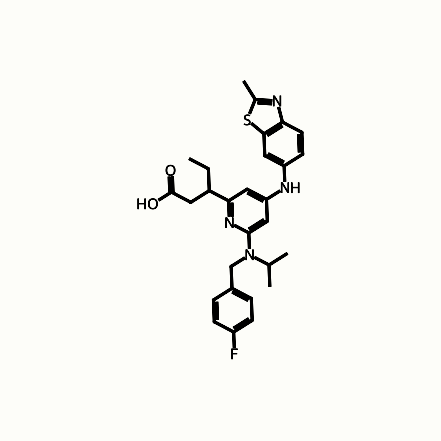 CCC(CC(=O)O)c1cc(Nc2ccc3nc(C)sc3c2)cc(N(Cc2ccc(F)cc2)C(C)C)n1